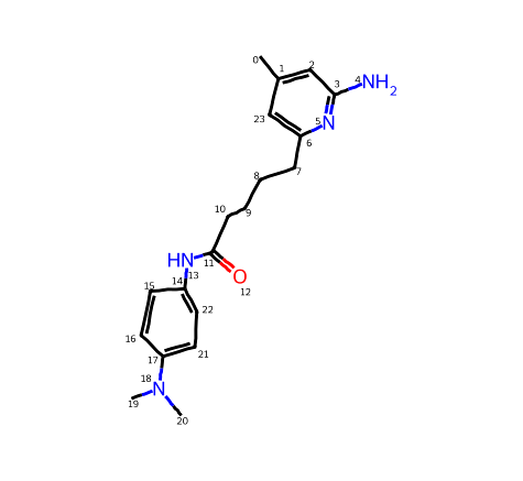 Cc1cc(N)nc(CCCCC(=O)Nc2ccc(N(C)C)cc2)c1